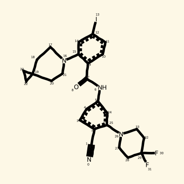 N#Cc1ccc(NC(=O)c2ccc(I)cc2N2CCC3(CC2)CC3)cc1N1CCC(F)(F)CC1